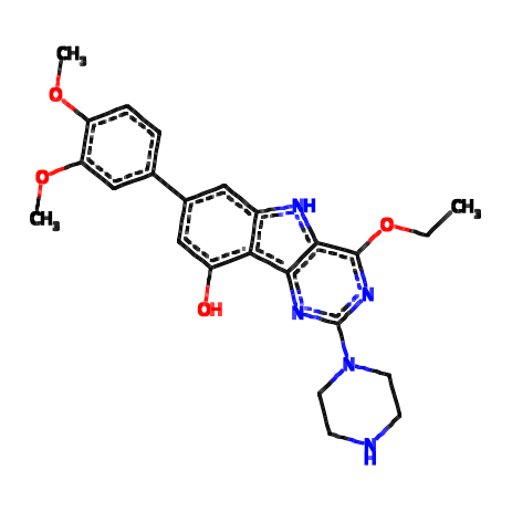 CCOc1nc(N2CCNCC2)nc2c1[nH]c1cc(-c3ccc(OC)c(OC)c3)cc(O)c12